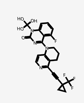 O=c1nc(N2CCCc3c2ccnc3C#CC2(C(F)(F)F)CC2)c2c(F)cccc2n1C(O)(O)O